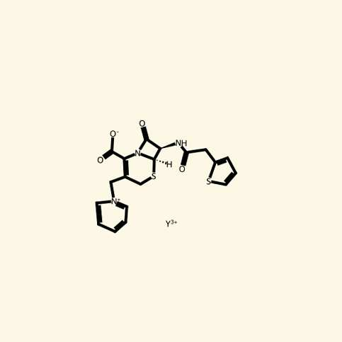 O=C(Cc1cccs1)N[C@@H]1C(=O)N2C(C(=O)[O-])=C(C[n+]3ccccc3)CS[C@H]12.[Y+3]